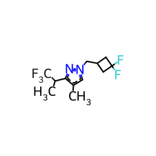 Cc1cn(CC2CC(F)(F)C2)nc1C(C)C(F)(F)F